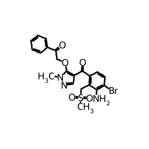 Cn1ncc(C(=O)c2ccc(Br)c(N)c2CS(C)(=O)=O)c1OCC(=O)c1ccccc1